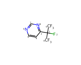 FC(F)(F)C(F)(c1c[c]ncn1)C(F)(F)F